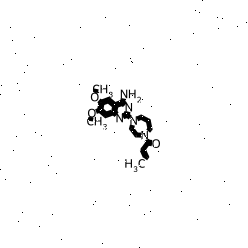 CC=CC(=O)N1CCCN(c2nc(N)c3cc(OC)c(OC)cc3n2)CC1